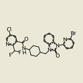 O=C(NC1CCC(Cn2c(=O)n(-c3cccc(Br)n3)c3ccccc32)CC1)c1cc(Cl)cnc1C(F)F